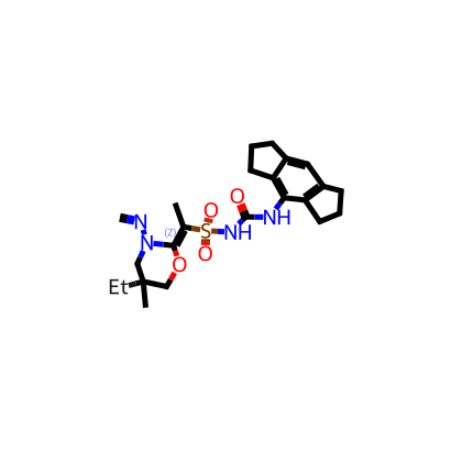 C=NN1CC(C)(CC)CO/C1=C(/C)S(=O)(=O)NC(=O)Nc1c2c(cc3c1CCC3)CCC2